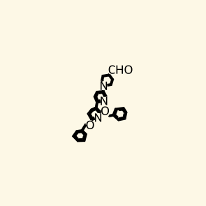 O=CC1CCN(c2ccc(-c3ccc(OCc4ccccc4)nc3OCc3ccccc3)nc2)CC1